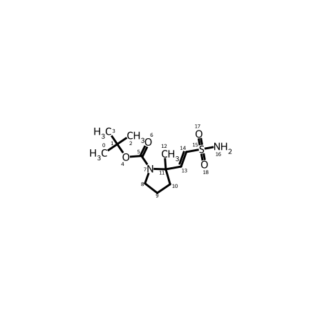 CC(C)(C)OC(=O)N1CCCC1(C)/C=C/S(N)(=O)=O